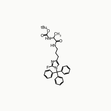 CC(NC(=O)OC(C)(C)C)C(=O)NCCCc1cn(C(c2ccccc2)(c2ccccc2)c2ccccc2)c(F)n1